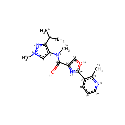 BC(B)c1nn(C)cc1N(C)C(=O)c1coc(-c2cccnc2C)n1